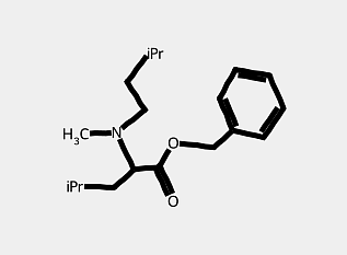 CC(C)CCN(C)C(CC(C)C)C(=O)OCc1ccccc1